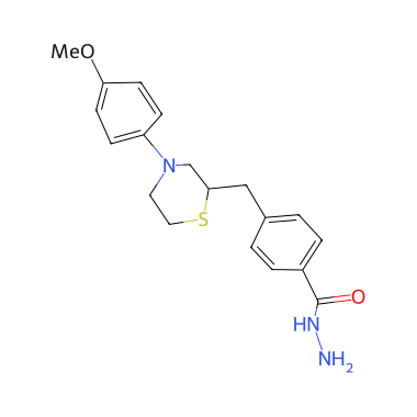 COc1ccc(N2CCSC(Cc3ccc(C(=O)NN)cc3)C2)cc1